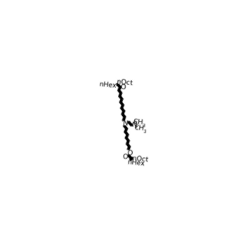 CCCCCCCCC(CCCCCC)C(=O)CCCCCCCCCCCN(CCCCCCCCCOC(=O)C(CCCCCC)CCCCCCCC)CCN(C)C